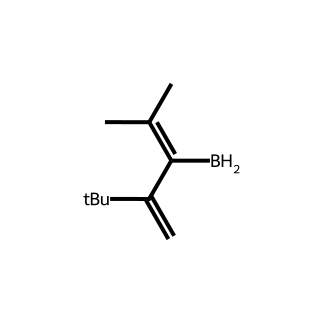 BC(C(=C)C(C)(C)C)=C(C)C